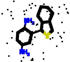 Nc1ccc(N)c(-c2scc3ccccc23)c1